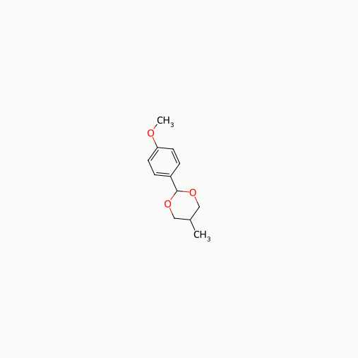 COc1ccc(C2OCC(C)CO2)cc1